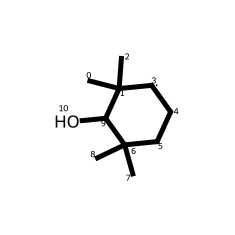 CC1(C)[CH]CCC(C)(C)C1O